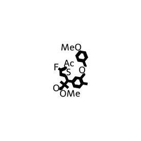 COC(=O)C(C)(C)C(c1ccc(C)c(COCc2ccc(OC)cc2)c1)c1cc(F)c(C(C)=O)s1